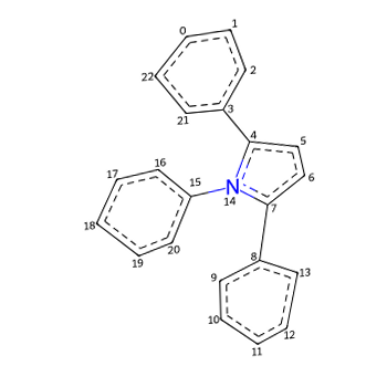 c1ccc(-c2ccc(-c3ccccc3)n2-c2ccccc2)cc1